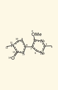 COc1nc(C)ncc1-c1ccn(C)c(=O)c1